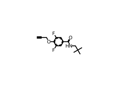 C#CCOc1c(F)cc(C(=O)NCC(C)(C)C)cc1F